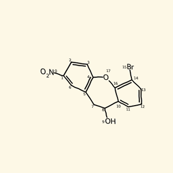 O=[N+]([O-])c1ccc2c(c1)CC(O)c1cccc(Br)c1O2